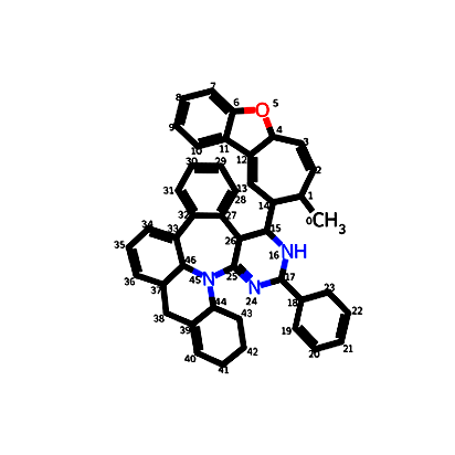 CC1C=CC2Oc3ccccc3C2=CC1C1NC(C2C=CC=CC2)N=C2C1c1ccccc1C1=CC=CC3CC4=CCCCC4N2C13